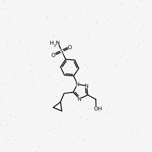 NS(=O)(=O)c1ccc(-n2nc(CO)nc2CC2CC2)cc1